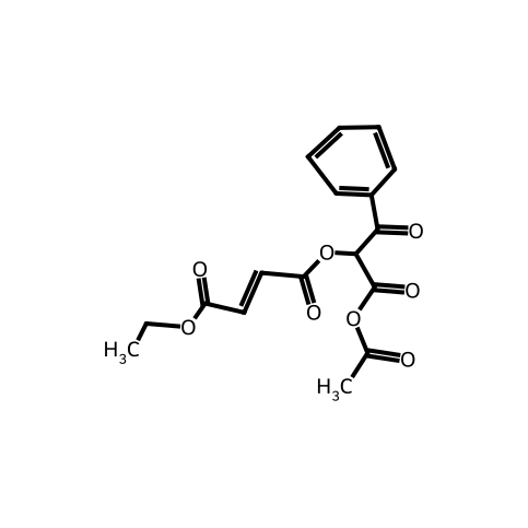 CCOC(=O)C=CC(=O)OC(C(=O)OC(C)=O)C(=O)c1ccccc1